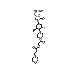 CC(=O)NCC1CN(c2cc(F)c(N3CCN(C(=O)COC(=O)CCN4CCOCC4)CC3)c(F)c2)C(=O)O1